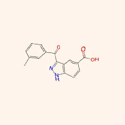 Cc1cccc(C(=O)c2n[nH]c3ccc(C(=O)O)cc23)c1